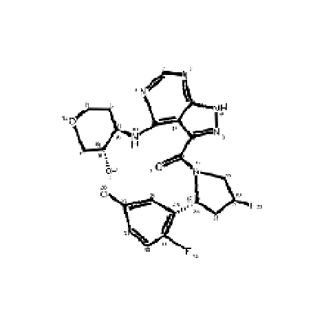 O=C(c1n[nH]c2ncnc(N[C@@H]3CCOC[C@H]3O)c12)N1C[C@@H](F)C[C@@H]1c1cc(Cl)ccc1F